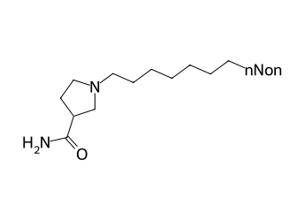 CCCCCCCCCCCCCCCCN1CCC(C(N)=O)C1